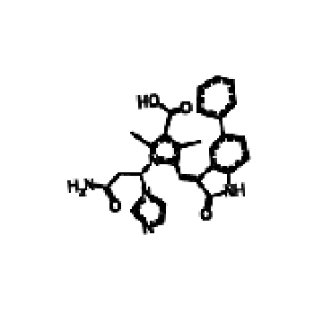 Cc1c(C(=O)O)c(C)n(C(CC(N)=O)n2ccnc2)c1C=C1C(=O)Nc2ccc(-c3ccccc3)cc21